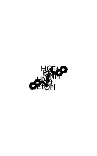 CCC(O)(CC)[C@H](NC(=O)C(=O)N[C@H](c1ccc2ccccc2c1)C(O)(CC)CC)c1ccc2ccccc2c1